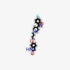 O=C1Cc2ccc(OCCCCN3CCC(c4noc5cc(F)ccc45)CC3)cc2N1